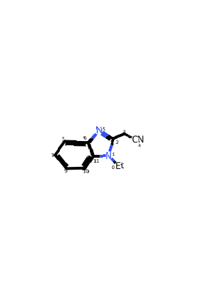 CCn1c(CC#N)nc2ccccc21